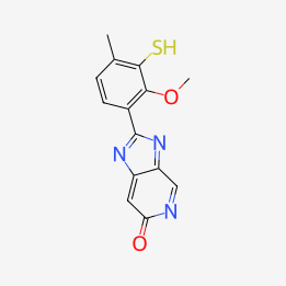 COc1c(C2=NC3=CC(=O)N=CC3=N2)ccc(C)c1S